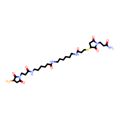 NC(=O)CCN1C(=O)CC(SCCC(=O)NCCCCCCNC(=O)CCCCCNC(=O)CCN2C(=O)CC(P)C2=O)C1=O